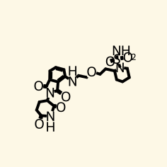 NS(=O)(=O)N1CCCCC1CCOCCNc1cccc2c1C(=O)N(C1CCC(=O)NC1=O)C2=O